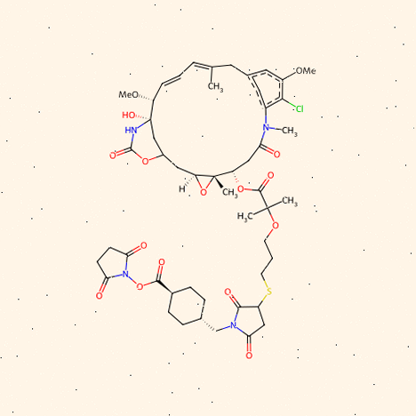 COc1cc2cc(c1Cl)N(C)C(=O)C[C@H](OC(=O)C(C)(C)OCCCSC1CC(=O)N(C[C@H]3CC[C@H](C(=O)ON4C(=O)CCC4=O)CC3)C1=O)[C@]1(C)O[C@H]1CC1C[C@@](O)(NC(=O)O1)[C@H](OC)/C=C/C=C(\C)C2